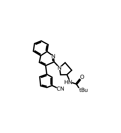 CC(C)(C)C(=O)NC1CCN(c2nc3ccccc3cc2-c2cccc(C#N)c2)C1